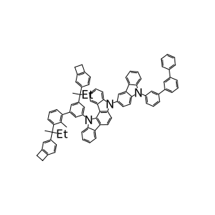 CCC(C)(c1cc(-c2cccc(C(C)(CC)c3ccc4c(c3)CC4)c2C)cc(-n2c3ccccc3c3ccc4c(c5ccccc5n4-c4ccc5c(c4)c4ccccc4n5-c4cccc(-c5cccc(-c6ccccc6)c5)c4)c32)c1)c1ccc2c(c1)CC2